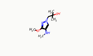 CNc1cn(CC(C)(C)O)nc1OC